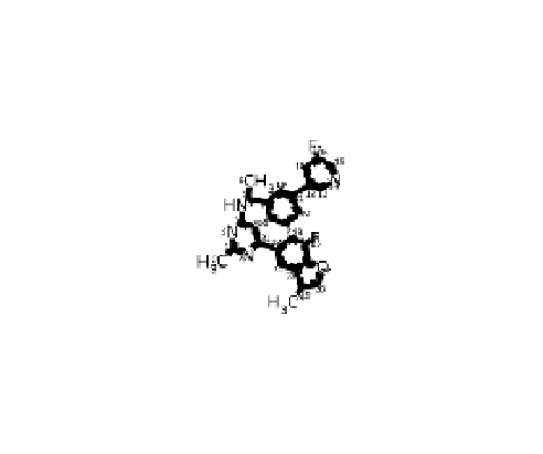 Cc1nc(NC(C)c2cccc(-c3cncc(F)c3)c2)cc(-c2cc(F)c3occ(C)c3c2)n1